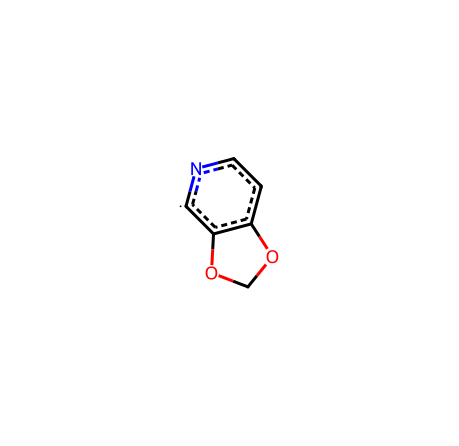 [c]1nccc2c1OCO2